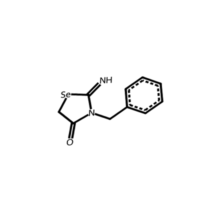 N=C1[Se]CC(=O)N1Cc1ccccc1